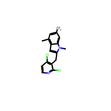 Cc1cc(C(F)(F)F)cc2c1cc(Cc1c(Cl)[c]cnc1Cl)n2C